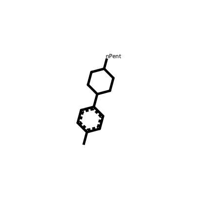 CCCCCC1CCC(c2ccc(C)cc2)CC1